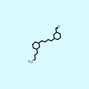 CCCCC1CCCC(CCCCC2CCCC(C=O)C2)C1